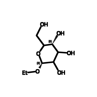 CCO[C@@H]1OC(CO)[C@H](O)C(O)C1O